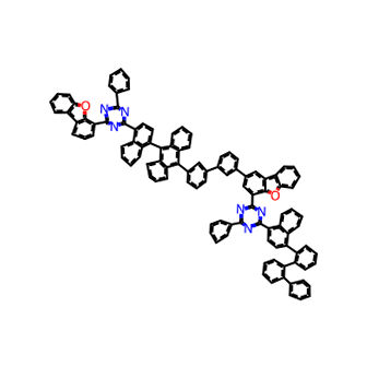 c1ccc(-c2nc(-c3ccc(-c4ccccc4-c4ccccc4-c4ccccc4)c4ccccc34)nc(-c3cc(-c4cccc(-c5cccc(-c6c7ccccc7c(-c7ccc(-c8nc(-c9ccccc9)nc(-c9cccc%10c9oc9ccccc9%10)n8)c8ccccc78)c7ccccc67)c5)c4)cc4c3oc3ccccc34)n2)cc1